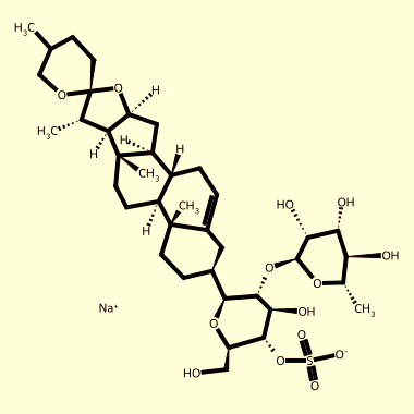 CC1CC[C@@]2(OC1)O[C@H]1C[C@H]3[C@@H]4CC=C5C[C@@H]([C@@H]6O[C@H](CO)[C@@H](OS(=O)(=O)[O-])[C@H](O)[C@H]6O[C@@H]6O[C@@H](C)[C@H](O)[C@@H](O)[C@H]6O)CC[C@]5(C)[C@H]4CC[C@]3(C)[C@H]1[C@@H]2C.[Na+]